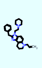 C=CCN1CCCc2c1ccc1c2nc(Cc2ccccc2)n1CCN1CCCCC1